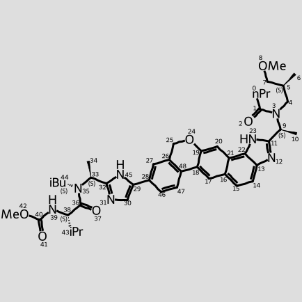 CCCC(=O)N(C[C@H](C)COC)[C@@H](C)c1nc2ccc3cc4c(cc3c2[nH]1)OCc1cc(-c2cnc([C@H](C)N(C(=O)[C@@H](NC(=O)OC)C(C)C)[C@@H](C)CC)[nH]2)ccc1-4